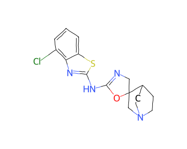 Clc1cccc2sc(NC3=NCC4(CN5CCC4CC5)O3)nc12